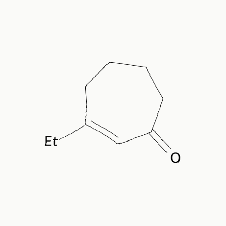 CCC1=CC(=O)CCCC1